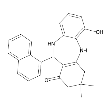 CC1(C)CC(=O)C2=C(C1)Nc1c(O)cccc1NC2c1cccc2ccccc12